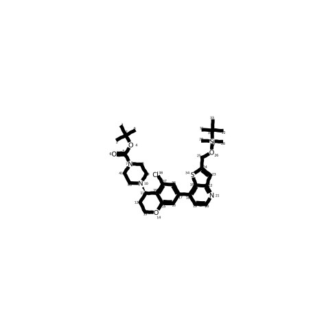 CC(C)(C)OC(=O)N1CCN([C@H]2CCOc3cc(-c4ccnc5cc(CO[Si](C)(C)C(C)(C)C)sc45)cc(Cl)c32)CC1